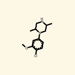 COc1cc(N2CC(C)NCC2C)ccc1Cl